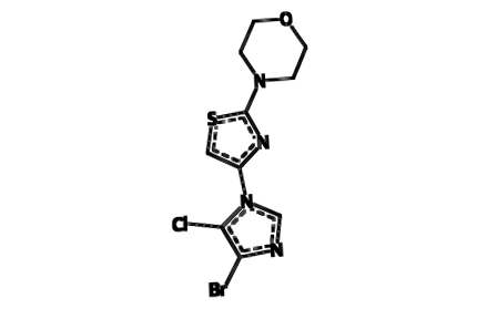 Clc1c(Br)ncn1-c1csc(N2CCOCC2)n1